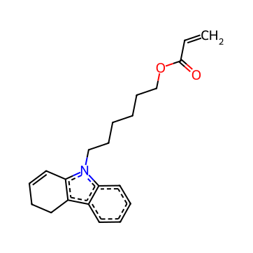 C=CC(=O)OCCCCCCn1c2c(c3ccccc31)CCC=C2